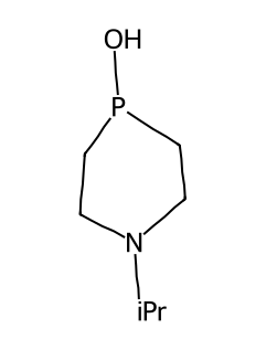 CC(C)N1CCP(O)CC1